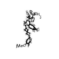 COc1cc(N2CC3(CC(c4nnc5n4-c4ccc(Cl)cc4CN(C4(C(=O)N(C)C)CC4)C5)C3)C2)ncc1F